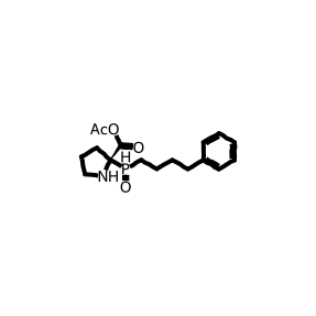 CC(=O)OC(=O)[C@]1([PH](=O)CCCCc2ccccc2)CCCN1